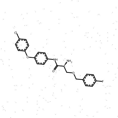 N[C@@H](COCc1ccc(F)cc1)C(=O)Nc1ccc(Oc2ccc(Cl)cc2)cc1